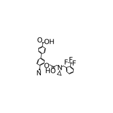 N#Cc1ccc(-c2ccc(C(=O)O)cc2)cc1OC[C@H](O)CN(Cc1ccccc1C(F)(F)F)C1CC1